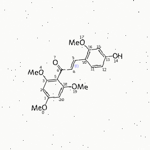 COc1cc(OC)c(C(=O)/C=C/c2ccc(O)cc2OC)c(OC)c1